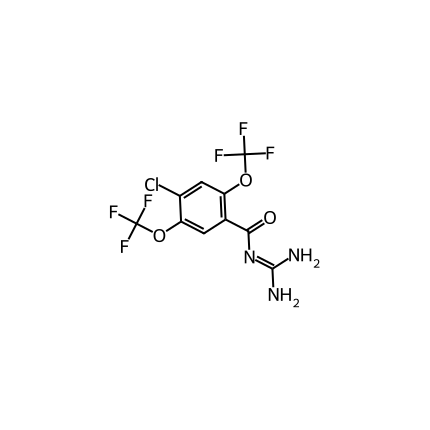 NC(N)=NC(=O)c1cc(OC(F)(F)F)c(Cl)cc1OC(F)(F)F